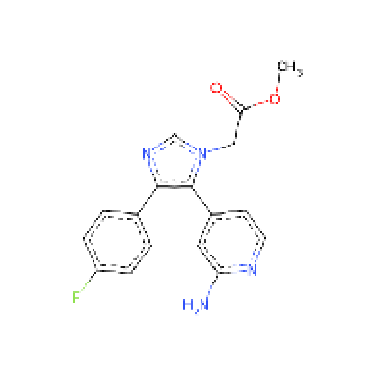 COC(=O)Cn1cnc(-c2ccc(F)cc2)c1-c1ccnc(N)c1